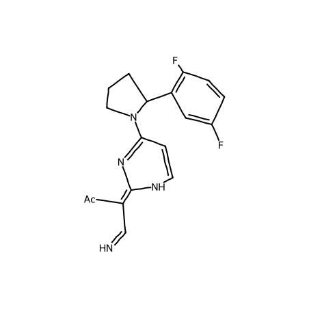 CC(=O)/C(C=N)=C1\N=C(N2CCCC2c2cc(F)ccc2F)C=CN1